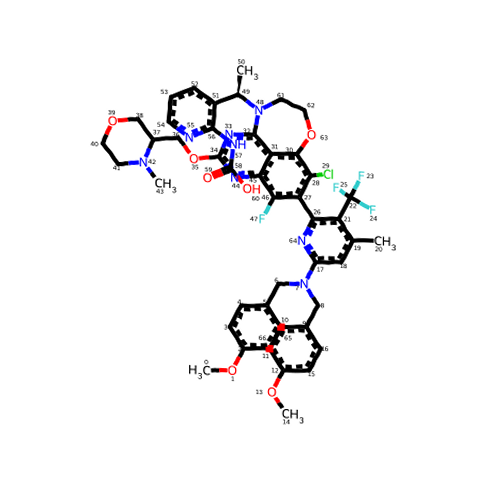 COc1ccc(CN(Cc2ccc(OC)cc2)c2cc(C)c(C(F)(F)F)c(-c3c(Cl)c4c5c(nc(OCC6COCCN6C)nc5c3F)N([C@H](C)c3cccnc3NC(=O)O)CCO4)n2)cc1